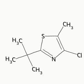 Cc1sc(C(C)(C)C)nc1Cl